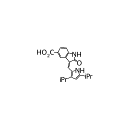 CC(C)c1cc(C(C)C)c(/C=C2\C(=O)Nc3ccc(C(=O)O)cc32)[nH]1